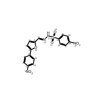 O=[N+]([O-])c1ccc(-c2ccc(C=NNS(=O)(=O)c3ccc([N+](=O)[O-])cc3)o2)cc1